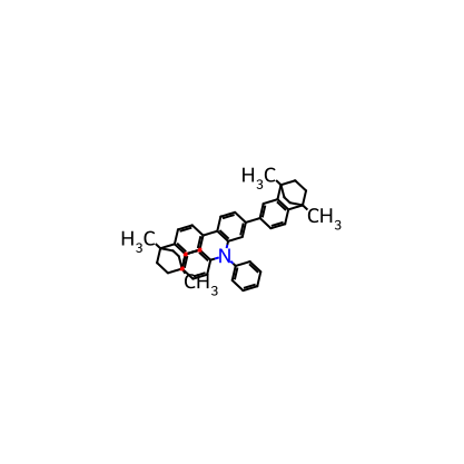 CC12CCC(C)(CC1)c1cc(-c3ccc(-c4ccc5c(c4)C4(C)CCC5(C)CC4)c(N(c4ccccc4)c4ccccc4)c3)ccc12